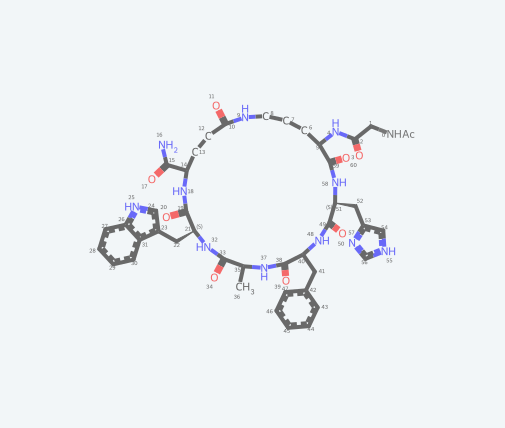 CC(=O)NCC(=O)NC1CCCNC(=O)CCC(C(N)=O)NC(=O)[C@H](Cc2c[nH]c3ccccc23)NC(=O)C(C)NC(=O)C(Cc2ccccc2)NC(=O)[C@H](Cc2c[nH]cn2)NC1=O